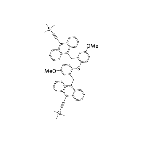 COc1ccc(Sc2ccc(OC)cc2Cc2c3ccccc3c(C#C[Si](C)(C)C)c3ccccc23)c(Cc2c3ccccc3c(C#C[Si](C)(C)C)c3ccccc23)c1